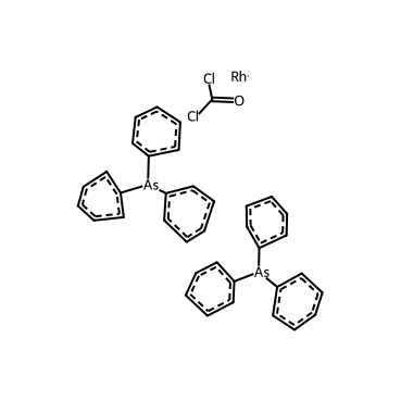 O=C(Cl)Cl.[Rh].c1ccc([As](c2ccccc2)c2ccccc2)cc1.c1ccc([As](c2ccccc2)c2ccccc2)cc1